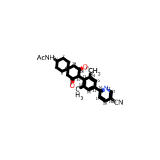 CC(=O)NC1CCC2(CC1)CC(=O)C(c1c(C)cc(-c3ccc(C#N)cn3)cc1C)C(=O)C2